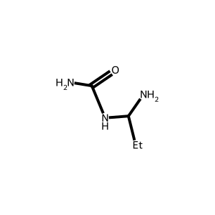 CCC(N)NC(N)=O